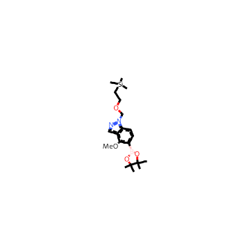 COc1c(B2OC(C)(C)C(C)(C)O2)ccc2c1cnn2COCC[Si](C)(C)C